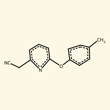 Cc1ccc(Oc2cccc([CH]C#N)n2)cc1